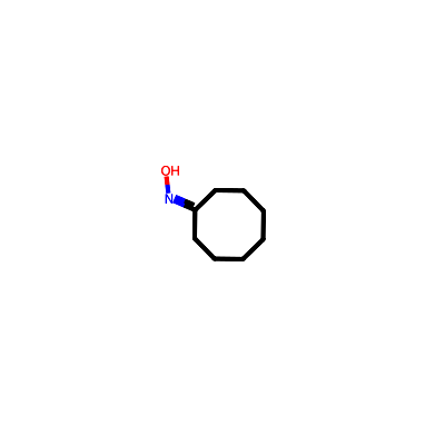 ON=C1CCCCCCC1